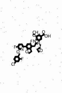 COc1cc(C(=O)O)cc2c1nc(Cc1c(F)cc(-c3ccc(F)c(OCc4ccc(Cl)cc4F)n3)c3c1CCO3)n2C[C@@H]1CCO1